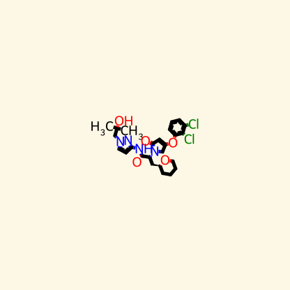 CC(C)(O)Cn1ccc(NC(=O)C(C[C@@H]2CCCCO2)N2CC(Oc3cccc(Cl)c3Cl)=CC2=O)n1